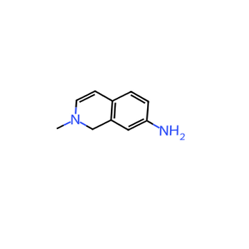 CN1C=Cc2ccc(N)cc2C1